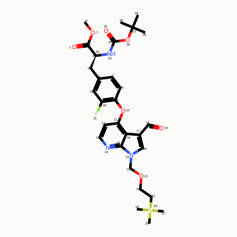 COC(=O)[C@H](Cc1ccc(Oc2ccnc3c2c(C=O)cn3COCCS(C)(C)C)c(F)c1)NC(=O)OC(C)(C)C